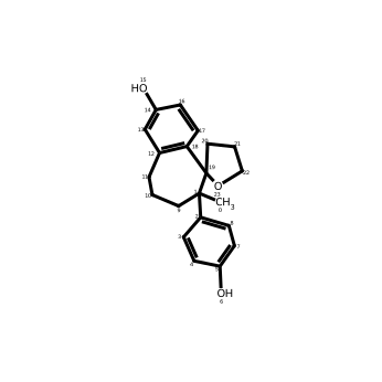 CC1(c2ccc(O)cc2)CCCc2cc(O)ccc2C12CCCO2